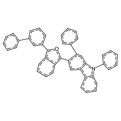 c1ccc(-c2cccc(-c3oc(-c4cc5c6ccccc6n(-c6ccccc6)c5cc4-c4ccccc4)c4ccccc34)c2)cc1